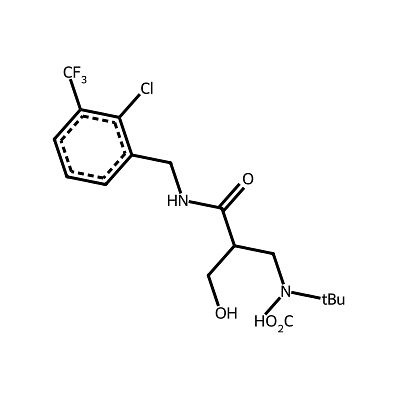 CC(C)(C)N(CC(CO)C(=O)NCc1cccc(C(F)(F)F)c1Cl)C(=O)O